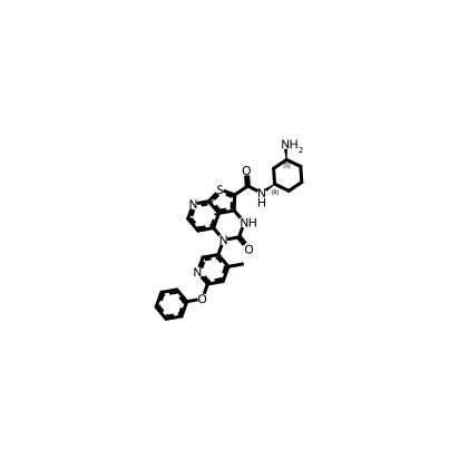 Cc1cc(Oc2ccccc2)ncc1N1C(=O)Nc2c(C(=O)N[C@@H]3CCC[C@H](N)C3)sc3nccc1c23